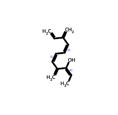 C=CC(=C)/C=C\C=C/C(=C)/C(O)=C\C